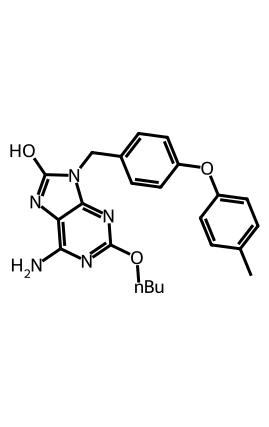 CCCCOc1nc(N)c2nc(O)n(Cc3ccc(Oc4ccc(C)cc4)cc3)c2n1